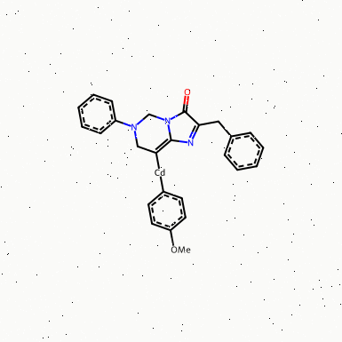 COc1cc[c]([Cd][C]2=C3N=C(Cc4ccccc4)C(=O)N3CN(c3ccccc3)C2)cc1